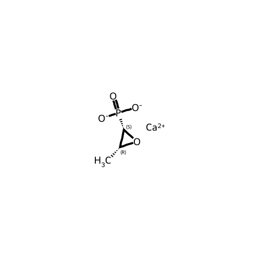 C[C@H]1O[C@H]1P(=O)([O-])[O-].[Ca+2]